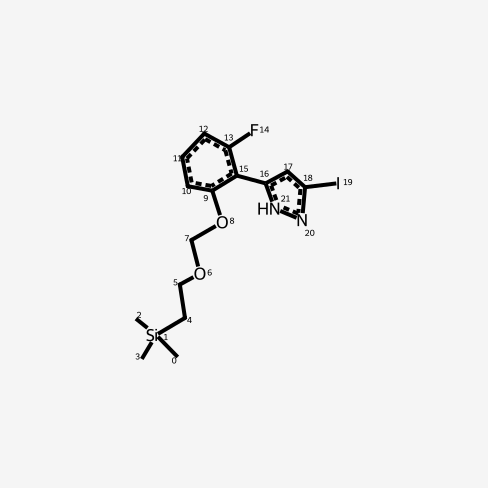 C[Si](C)(C)CCOCOc1cccc(F)c1-c1cc(I)n[nH]1